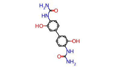 NC(=O)Nc1ccc(-c2ccc(NC(N)=O)c(O)c2)cc1O